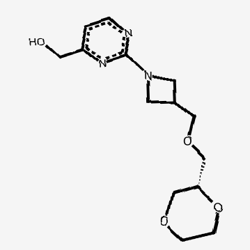 OCc1ccnc(N2CC(COC[C@H]3COCCO3)C2)n1